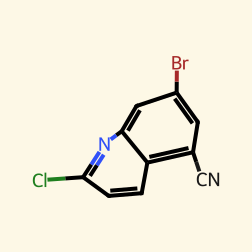 N#Cc1cc(Br)cc2nc(Cl)ccc12